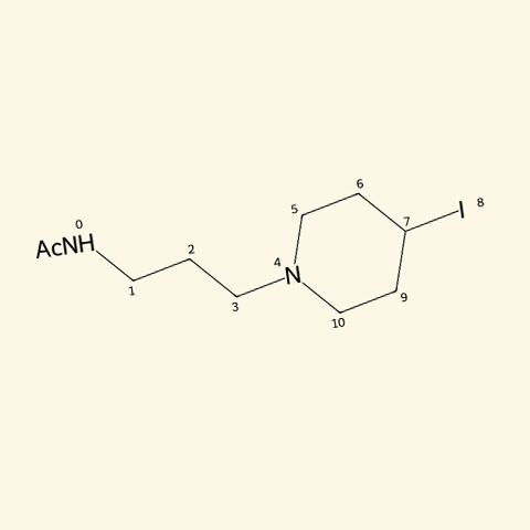 CC(=O)NCCCN1CCC(I)CC1